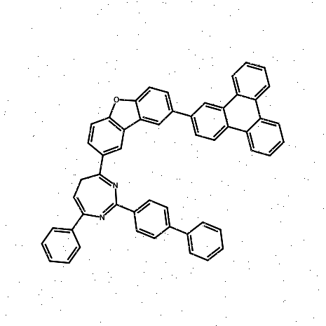 C1=C(c2ccccc2)N=C(c2ccc(-c3ccccc3)cc2)N=C(c2ccc3oc4ccc(-c5ccc6c7ccccc7c7ccccc7c6c5)cc4c3c2)C1